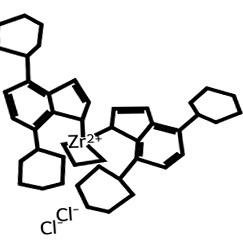 C1=C[CH]([Zr+2]2([CH]3C=Cc4c(C5CCCCC5)ccc(C5CCCCC5)c43)[CH2]C[CH2]2)c2c(C3CCCCC3)ccc(C3CCCCC3)c21.[Cl-].[Cl-]